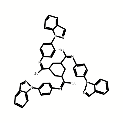 CC(C)(C)/C(=N/c1ccc(-n2ncc3ccccc32)cc1)C1CC(/C(=N\c2ccc(-n3ncc4ccccc43)cc2)C(C)(C)C)CC(/C(=N\c2ccc(-n3ncc4ccccc43)cc2)C(C)(C)C)C1